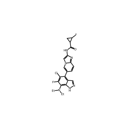 CCN(CC)c1c(F)c(Cl)c(-c2ccc3nc(NC(=O)C4CC4F)cn3c2)c2cn[nH]c12